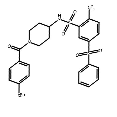 CC(C)(C)c1ccc(C(=O)N2CCC(NS(=O)(=O)c3cc(S(=O)(=O)c4ccccc4)ccc3C(F)(F)F)CC2)cc1